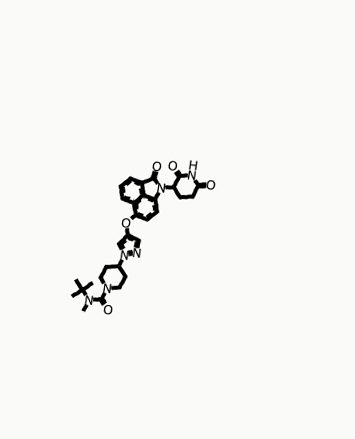 CN(C(=O)N1CCC(n2cc(Oc3ccc4c5c(cccc35)C(=O)N4C3CCC(=O)NC3=O)cn2)CC1)C(C)(C)C